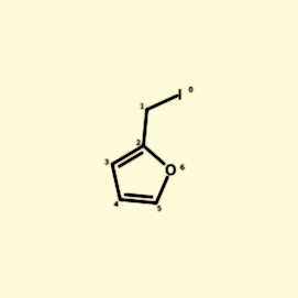 ICc1ccco1